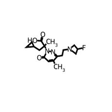 Cc1cc(=O)n(C(C)(CC2CC2)C(=O)O)nc1CCN1CC(F)C1